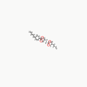 CCC=C[C@H]1CO[C@H](CC[C@H]2CO[C@H]([C@H]3CC[C@H](CCCCC)CC3)OC2)OC1